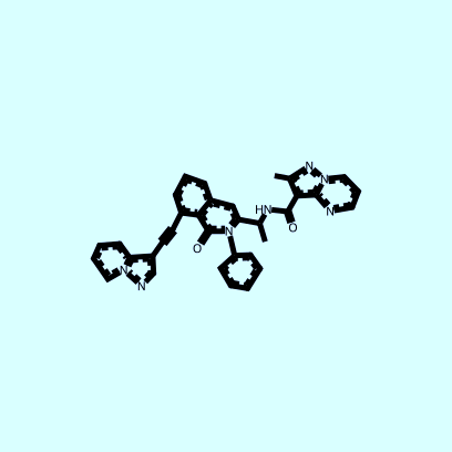 Cc1nn2cccnc2c1C(=O)NC(C)c1cc2cccc(C#Cc3cnn4ccccc34)c2c(=O)n1-c1ccccc1